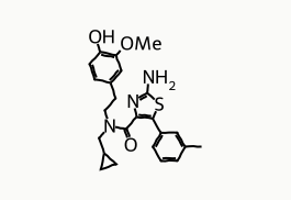 COc1cc(CCN(CC2CC2)C(=O)c2nc(N)sc2-c2cccc(C)c2)ccc1O